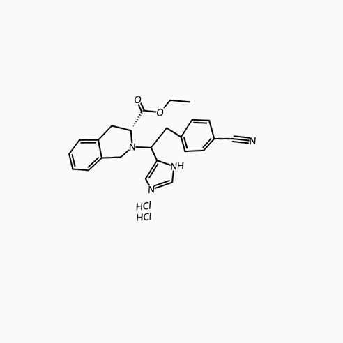 CCOC(=O)[C@H]1Cc2ccccc2CN1C(Cc1ccc(C#N)cc1)c1cnc[nH]1.Cl.Cl